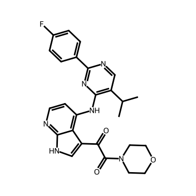 CC(C)c1cnc(-c2ccc(F)cc2)nc1Nc1ccnc2[nH]cc(C(=O)C(=O)N3CCOCC3)c12